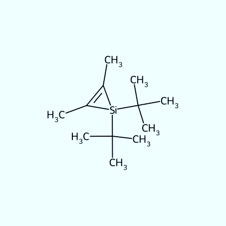 CC1=C(C)[Si]1(C(C)(C)C)C(C)(C)C